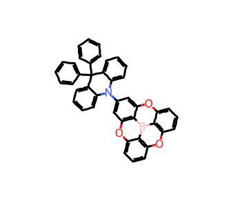 c1ccc(C2(c3ccccc3)c3ccccc3N(c3cc4c5c(c3)Oc3cccc6c3B5c3c(cccc3O4)O6)c3ccccc32)cc1